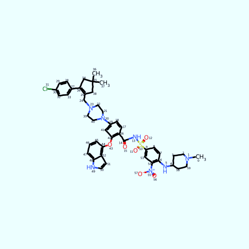 CN1CCC(Nc2ccc(S(=O)(=O)NC(=O)c3ccc(N4CCN(CC5=C(c6ccc(Cl)cc6)CC(C)(C)C5)CC4)cc3Oc3cccc4[nH]ccc34)cc2[N+](=O)[O-])CC1